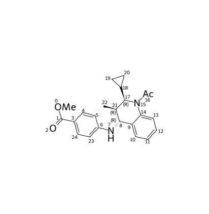 COC(=O)c1ccc(N[C@H]2c3ccccc3N(C(C)=O)[C@H](C3CC3)[C@@H]2C)cc1